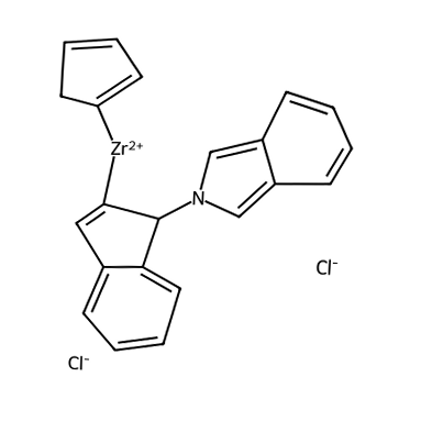 C1=CC[C]([Zr+2][C]2=Cc3ccccc3C2n2cc3ccccc3c2)=C1.[Cl-].[Cl-]